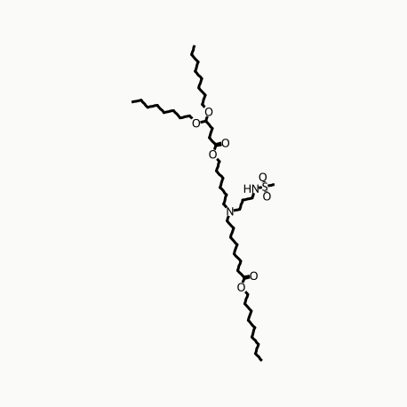 CCCCCCCCCOC(=O)CCCCCCCN(CCCCCCOC(=O)CCC(OCCCCCCCC)OCCCCCCCC)CCCNS(C)(=O)=O